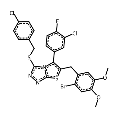 COc1cc(Br)c(Cc2sc3nnc(SCc4ccc(Cl)cc4)n3c2-c2ccc(F)c(Cl)c2)cc1OC